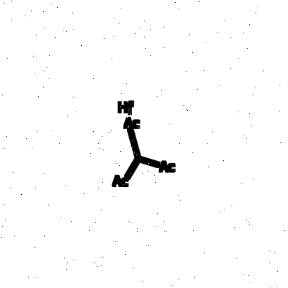 CC(=O)C(C(C)=O)C(C)=O.[Hf]